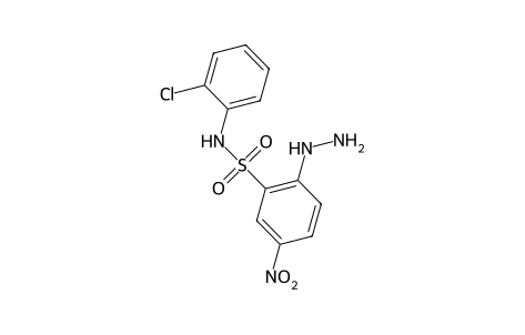 NNc1ccc([N+](=O)[O-])cc1S(=O)(=O)Nc1ccccc1Cl